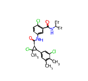 CCC(CC)NC(=O)c1cc(NC(=O)C2C(c3cc(C)c(C)c(Cl)c3)C2(C)Cl)ccc1Cl